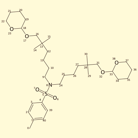 Cc1ccc(S(=O)(=O)N(CCCCC(C)(C)COC2CCCCO2)CCCCC(C)(C)COC2CCCCO2)cc1